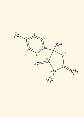 C=C1SC(c2ccc(O)cc2)(C(C)(C)C)C(=O)N1C